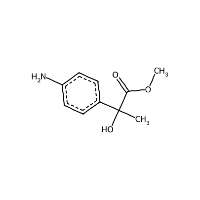 COC(=O)C(C)(O)c1ccc(N)cc1